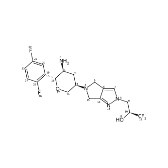 N[C@H]1C[C@@H](N2Cc3cn(C[C@H](O)C(F)(F)F)nc3C2)CO[C@@H]1c1cc(F)ccc1F